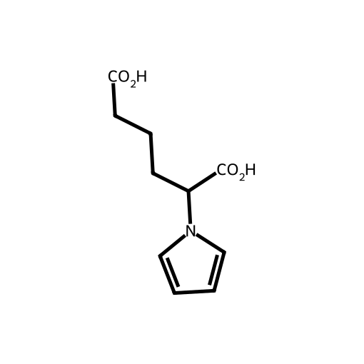 O=C(O)CCCC(C(=O)O)n1cccc1